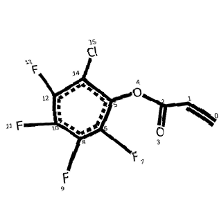 C=CC(=O)Oc1c(F)c(F)c(F)c(F)c1Cl